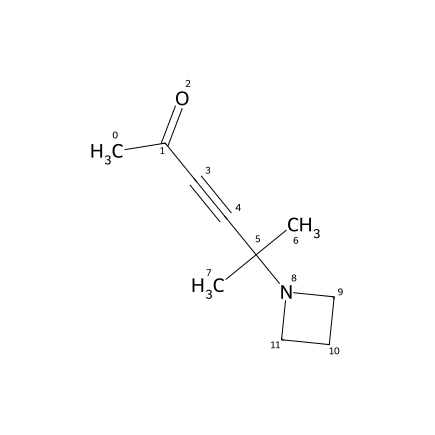 CC(=O)C#CC(C)(C)N1CCC1